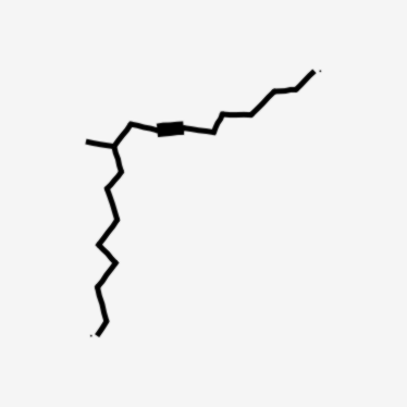 [CH2]CCCCCC#CCC(C)CCCCCCC[CH2]